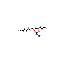 CCCCCCCCC(CCCCCC)OC(=O)CNC